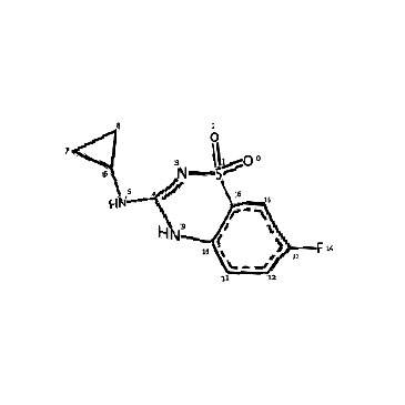 O=S1(=O)N=C(NC2CC2)Nc2ccc(F)cc21